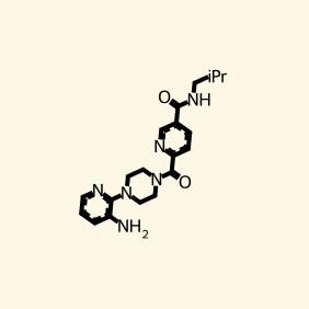 CC(C)CNC(=O)c1ccc(C(=O)N2CCN(c3ncccc3N)CC2)nc1